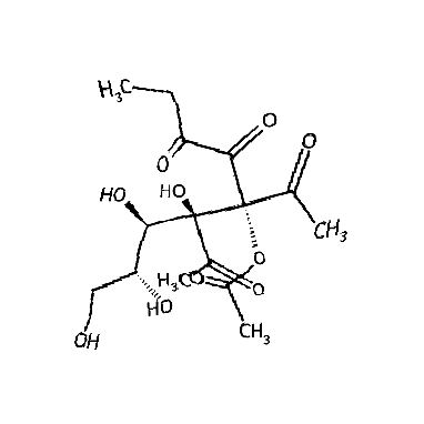 CCC(=O)C(=O)[C@@](OC(C)=O)(C(C)=O)[C@](O)(C(C)=O)[C@H](O)[C@H](O)CO